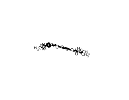 Cc1nnc(-c2ccc(OCCOCCOCCOCCOCCC(=O)NCC(C)(C)C)cc2)nn1